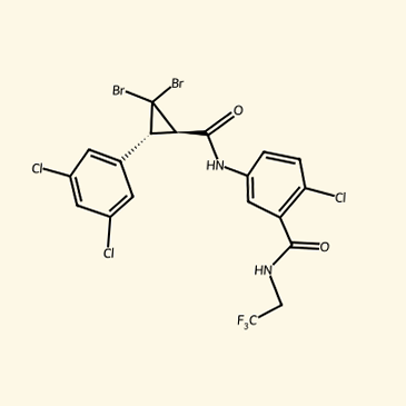 O=C(NCC(F)(F)F)c1cc(NC(=O)[C@H]2[C@H](c3cc(Cl)cc(Cl)c3)C2(Br)Br)ccc1Cl